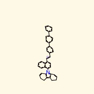 C1=Cc2c(c3c(n2-c2ccc(/C=C/c4ccc(-c5ccc(-c6ccccc6)cc5)cc4)c4ccccc24)C=CCC3)CC1